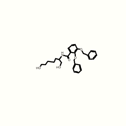 O=C(NC(CO)CCCCCO)c1cccc(OCc2ccccc2)c1OCc1ccccc1